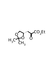 CCOC(=O)C(=O)C[C@H]1COC(C)(C)O1